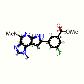 CNc1nc2[nH]c(-c3cc(F)cc(C(=O)OC)c3)cc2c2c1ncn2C